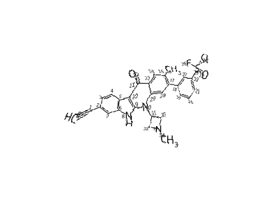 C#Cc1ccc2c(c1)[nH]c1c2c(=O)c2cc(C)c(-c3cccc(S(=O)(=O)F)c3)cc2n1C1CN(C)C1